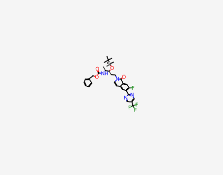 C[C@H](NC(=O)OCc1ccccc1)[C@H](CCn1ccc2cc(-c3ncc(C(F)(F)F)cn3)c(F)cc2c1=O)O[Si](C)(C)C(C)(C)C